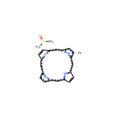 C1=Cc2cc3ccc(cc4nc(cc5ccc(cc1n2)[nH]5)C=C4)[nH]3.CS(C)=O.[Fe]